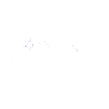 CCCC(=O)NCCCCCCNC(=O)/C=C/c1cn([C@H]2C[C@@H](O[PH](=O)O)[C@@H](CO)O2)c(=O)[nH]c1=O